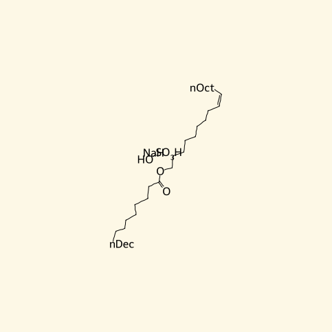 CCCCCCCC/C=C\CCCCCCCCOC(=O)CCCCCCCCCCCCCCCCC.O=S(=O)(O)O.[NaH]